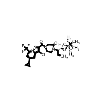 C=C[C@@H](CO[Si](C)(C)C(C)(C)C)N1CCN(C(=O)c2nn3c(C(F)(F)F)cc(C4CC4)cc3c2Cl)CC1=O